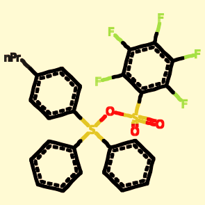 CCCc1ccc(S(OS(=O)(=O)c2c(F)c(F)c(F)c(F)c2F)(c2ccccc2)c2ccccc2)cc1